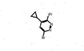 CC(C)c1nnc(Br)cc1C1CC1